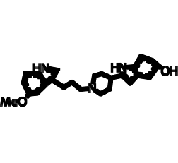 COc1ccc2[nH]cc(CCCN3CCC(c4cc5cc(O)ccc5[nH]4)CC3)c2c1